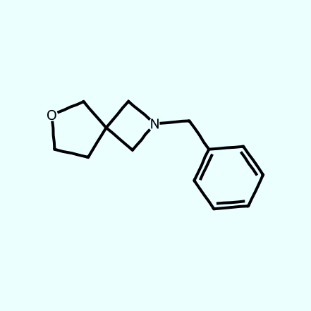 c1ccc(CN2CC3(CCOC3)C2)cc1